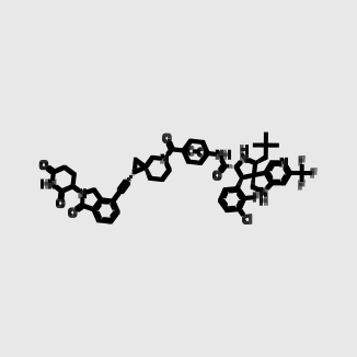 CC(C)(C)C[C@@H]1N[C@@H](C(=O)NC23CCC(C(=O)N4CCC[C@@]5(C[C@H]5C#Cc5cccc6c5CN(C5CCC(=O)NC5=O)C6=O)C4)(CC2)CC3)[C@H](c2cccc(Cl)c2F)[C@]12CNc1cc(C(F)(F)F)ncc12